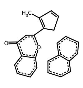 CC1=C(c2cc(=O)c3ccccc3o2)CC=C1.c1ccc2ccccc2c1